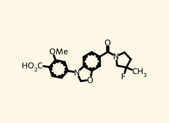 COc1cc(N2COc3cc(C(=O)N4CCC(C)(F)C4)ccc32)ccc1C(=O)O